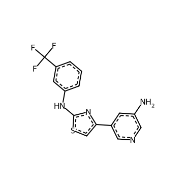 Nc1cncc(-c2csc(Nc3cccc(C(F)(F)F)c3)n2)c1